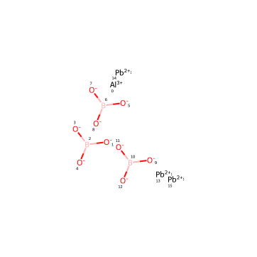 [Al+3].[O-]B([O-])[O-].[O-]B([O-])[O-].[O-]B([O-])[O-].[Pb+2].[Pb+2].[Pb+2]